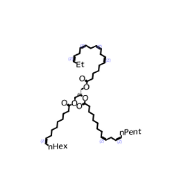 CC/C=C\C/C=C\C/C=C\C/C=C\CCCCC(=O)OC[C@@H](COC(=O)CCCCCCC/C=C\CCCCCC)OC(=O)CCCCCCC/C=C\C/C=C\CCCCC